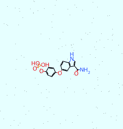 NC(=O)c1c[nH]c2ccc(Oc3ccc(OP(=O)(O)O)cc3)cc12